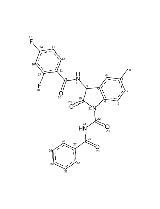 Cc1ccc2c(c1)C(NC(=O)c1ccc(F)cc1F)C(=O)N2C(=O)NC(=O)c1ccccc1